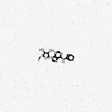 OC1C(O)[C@@H](CF)O[C@H]1n1cnc2c(NC3CC4CCC3C4)ncnc21